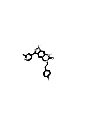 Cc1cc(-c2n[nH]c3cc4c(cc23)CN(CCc2ccc(F)cc2)C(=O)N4)ccn1